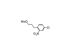 COCCCc1ccc(Cl)cc1[N+](=O)[O-]